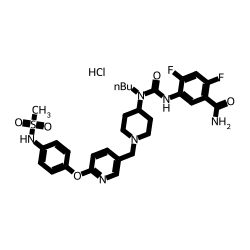 CCCCN(C(=O)Nc1cc(C(N)=O)c(F)cc1F)C1CCN(Cc2ccc(Oc3ccc(NS(C)(=O)=O)cc3)nc2)CC1.Cl